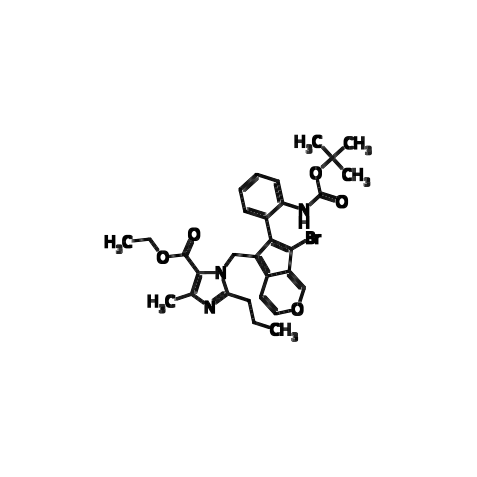 CCCc1nc(C)c(C(=O)OCC)n1Cc1c2ccocc-2c(Br)c1-c1ccccc1NC(=O)OC(C)(C)C